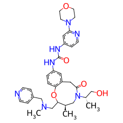 C[C@@H]1CN([C@@H](C)CO)C(=O)Cc2cc(NC(=O)Nc3ccnc(N4CCOCC4)c3)ccc2OC1CN(C)Cc1ccncc1